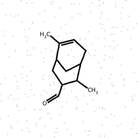 CC1=CCC2CC1CC(C=O)C2C